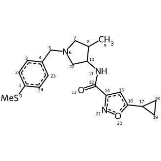 CSc1ccc(CN2CC(C)C(NC(=O)c3cc(C4CC4)on3)C2)cc1